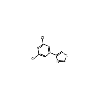 Clc1cc(-c2cs[c]n2)cc(Cl)n1